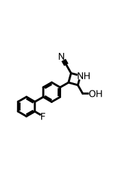 N#CC1NC(CO)C1c1ccc(-c2ccccc2F)cc1